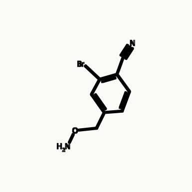 N#Cc1ccc(CON)cc1Br